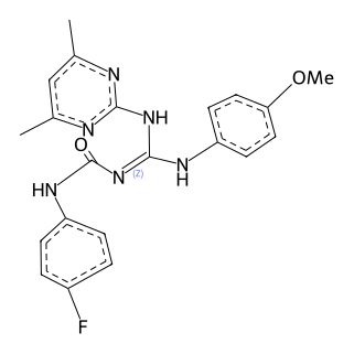 COc1ccc(N/C(=N/C(=O)Nc2ccc(F)cc2)Nc2nc(C)cc(C)n2)cc1